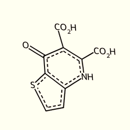 O=C(O)c1[nH]c2ccsc2c(=O)c1C(=O)O